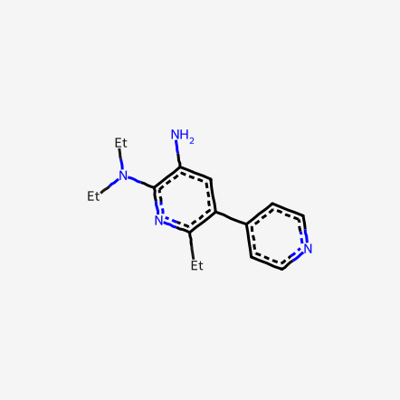 CCc1nc(N(CC)CC)c(N)cc1-c1ccncc1